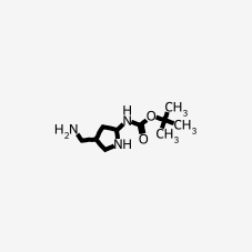 CC(C)(C)OC(=O)NC1CC(CN)CN1